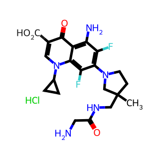 CC1(CNC(=O)CN)CCN(c2c(F)c(N)c3c(=O)c(C(=O)O)cn(C4CC4)c3c2F)C1.Cl